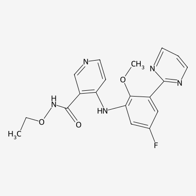 CCONC(=O)c1cnccc1Nc1cc(F)cc(-c2ncccn2)c1OC